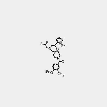 CCn1nccc1C1CN(CC(F)F)CC2(CCN(C(=O)c3ccc(OC(C)C)c(C)c3)CC2)O1